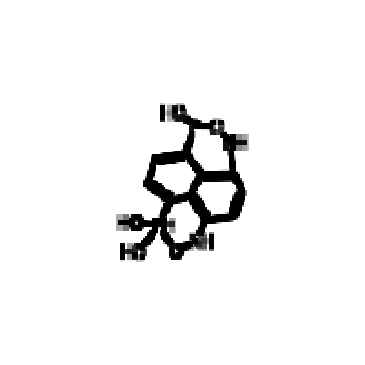 OP1ONc2ccc3c4c(ccc1c24)[PH](O)(O)ON3